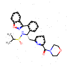 CC(C)[S@+]([O-])N[C@@H](Cc1cccc(C(=O)N2CCOCC2)n1)c1ccccc1-c1noc2ccccc12